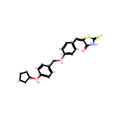 O=C1NC(=S)SC1=Cc1ccc(OCc2ccc(OC3CCCC3)cc2)cc1